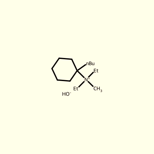 CCCCC1([N+](C)(CC)CC)CCCCC1.[OH-]